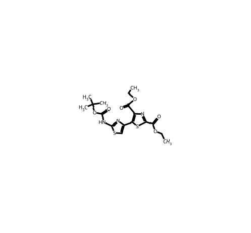 CCOC(=O)c1nc(C(=O)OCC)c(-c2csc(NC(=O)OC(C)(C)C)n2)s1